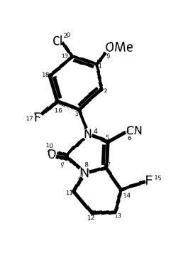 COc1cc(-n2c(C#N)c3n(c2=O)CCCC3F)c(F)cc1Cl